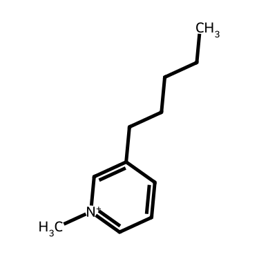 CCCCCc1ccc[n+](C)c1